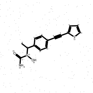 CC(c1ccc(C#Cc2cccs2)cc1)N(O)C(N)=O